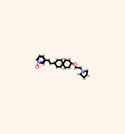 [O-][n+]1cccc(CCC2CCC3(CC2)CCC(OCCN2CCCC2)CC3)c1